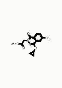 COC(=O)Cn1nc(OC2CC2)c2cc(C(F)(F)F)ccc2c1=O